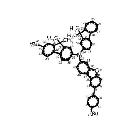 CC(C)(C)c1ccc(-c2ccc3oc4cc(N(c5ccc6c(c5)C(C)(C)c5ccccc5-6)c5ccc6c(c5)C(C)(C)c5cc(C(C)(C)C)ccc5-6)ccc4c3c2)cc1